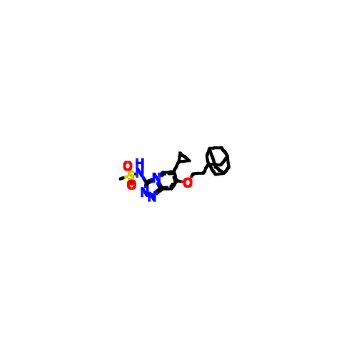 CS(=O)(=O)Nc1nnc2cc(OCCC34CC5CC(CC(C5)C3)C4)c(C3CC3)cn12